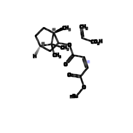 C=CC(=O)O.CCCCOC(=O)/C=C\C(=O)OC1C[C@H]2CC[C@@]1(C)C2(C)C